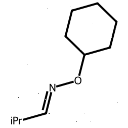 CC(C)/[C]=N/OC1CCCCC1